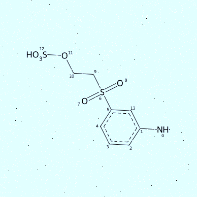 [NH]c1cccc(S(=O)(=O)CCOS(=O)(=O)O)c1